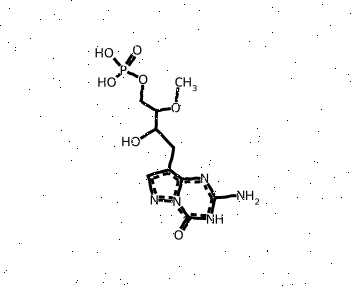 COC(COP(=O)(O)O)C(O)Cc1cnn2c(=O)[nH]c(N)nc12